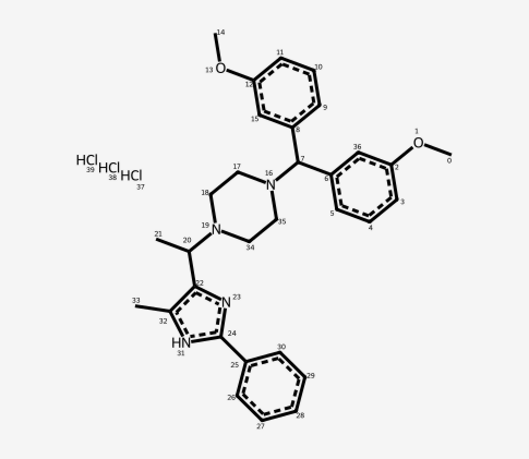 COc1cccc(C(c2cccc(OC)c2)N2CCN(C(C)c3nc(-c4ccccc4)[nH]c3C)CC2)c1.Cl.Cl.Cl